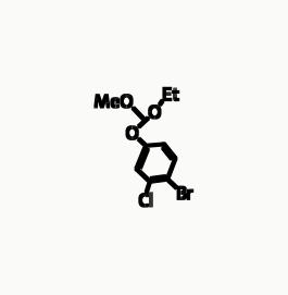 CCOC(OC)Oc1ccc(Br)c(Cl)c1